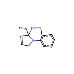 O=C(O)C12C=CCN1c1ccccc1C=N2